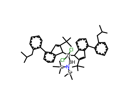 CC(C)Cc1ccccc1-c1cccc2c1C=C(C(C)(C)C)[CH]2[Zr]([Cl])([Cl])([BH]N([Si](C)(C)C)[Si](C)(C)C)[CH]1C(C(C)(C)C)=Cc2c(-c3ccccc3CC(C)C)cccc21